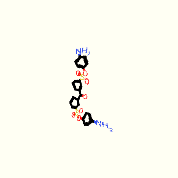 Nc1ccc(OS(=O)(=O)c2cccc(C(=O)c3cccc(S(=O)(=O)Oc4ccc(N)cc4)c3)c2)cc1